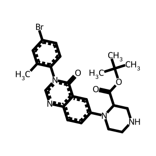 Cc1cc(Br)ccc1-n1cnc2ccc(N3CCNCC3C(=O)OC(C)(C)C)cc2c1=O